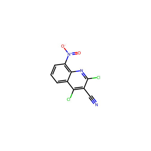 N#Cc1c(Cl)nc2c([N+](=O)[O-])cccc2c1Cl